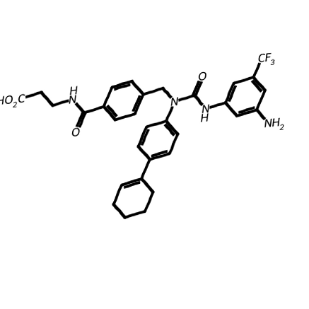 Nc1cc(NC(=O)N(Cc2ccc(C(=O)NCCC(=O)O)cc2)c2ccc(C3=CCCCC3)cc2)cc(C(F)(F)F)c1